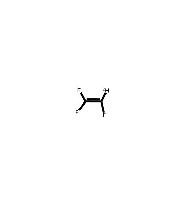 [2H]C(F)=C(F)F